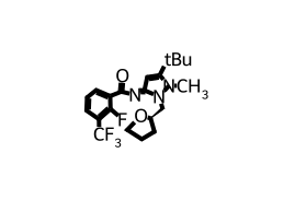 Cn1c(C(C)(C)C)cc(=NC(=O)c2cccc(C(F)(F)F)c2F)n1C[C@H]1CCCO1